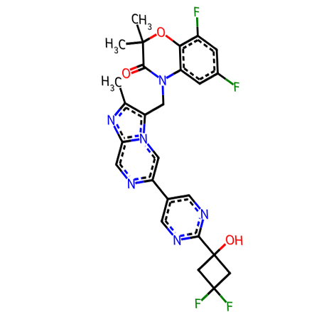 Cc1nc2cnc(-c3cnc(C4(O)CC(F)(F)C4)nc3)cn2c1CN1C(=O)C(C)(C)Oc2c(F)cc(F)cc21